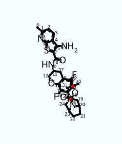 Cc1ccc2c(N)c(C(=O)N[C@@H]3COc4c(F)c(N5CC6CCC(C5)N6C(=O)OC(C)(C)C)cc(F)c4C3)sc2n1